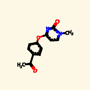 CC(=O)c1ccc(Oc2ccn(C)c(=O)n2)cc1